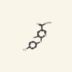 CNC(=O)c1cnc(Oc2ccc(C)cc2)c(F)c1